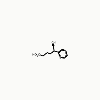 C#CC(CCCC(=O)O)c1cnccn1